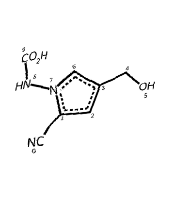 N#Cc1cc(CO)cn1NC(=O)O